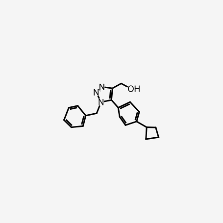 OCc1nnn(Cc2ccccc2)c1-c1ccc(C2CCC2)cc1